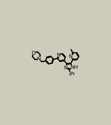 Cc1cccc(-c2[nH]c(C(C)C)nc2-c2ccnc(-c3ccc(CN4CCOCC4)cc3)c2)n1